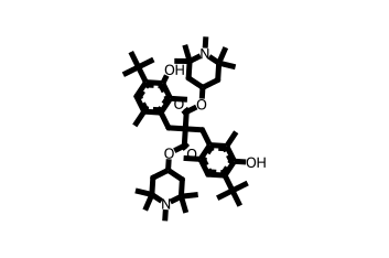 Cc1cc(C(C)(C)C)c(O)c(C)c1CC(Cc1c(C)cc(C(C)(C)C)c(O)c1C)(C(=O)OC1CC(C)(C)N(C)C(C)(C)C1)C(=O)OC1CC(C)(C)N(C)C(C)(C)C1